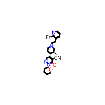 CCc1ncccc1CCN1CC[C@H](c2cnn([C@@H]3CCCCO3)c(=O)c2C#N)[C@H](C)C1